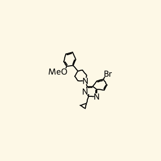 COc1ccccc1C1CCN(c2nc(C3CC3)nc3ccc(Br)cc23)CC1